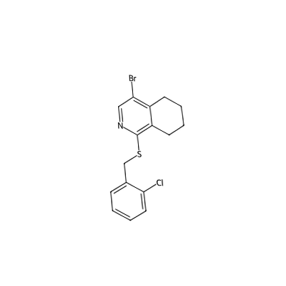 Clc1ccccc1CSc1ncc(Br)c2c1CCCC2